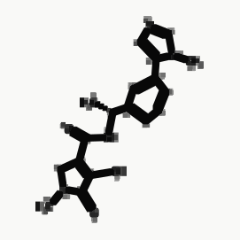 C[C@@H](NC(=O)C1=C(O)C(=O)N(C)C1)c1cccc(-c2cncn2C)c1